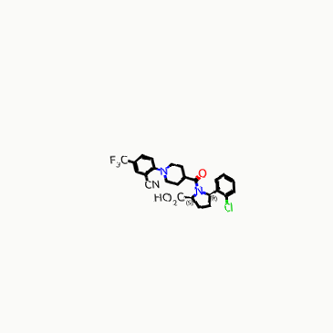 N#Cc1cc(C(F)(F)F)ccc1N1CCC(C(=O)N2[C@@H](c3ccccc3Cl)CC[C@H]2C(=O)O)CC1